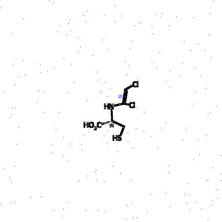 O=C(O)[C@@H](CS)N/C(Cl)=C/Cl